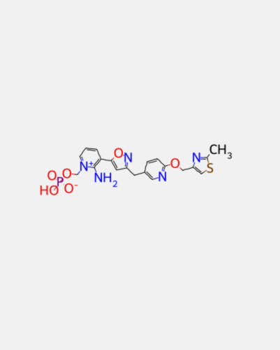 Cc1nc(COc2ccc(Cc3cc(-c4ccc[n+](COP(=O)([O-])O)c4N)on3)cn2)cs1